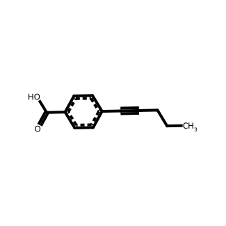 CCCC#Cc1ccc(C(=O)O)cc1